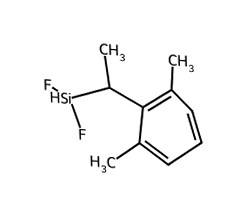 Cc1cccc(C)c1C(C)[SiH](F)F